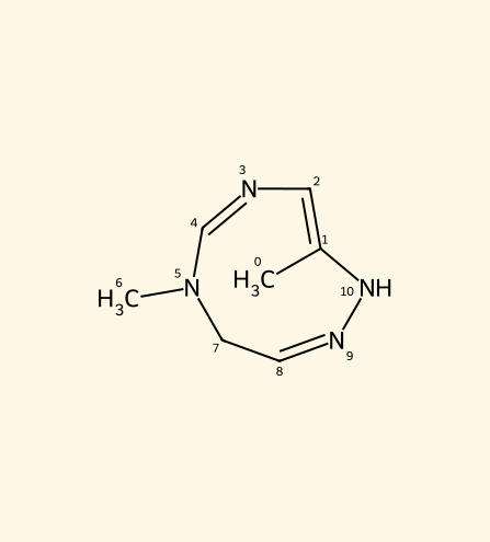 C/C1=C\N=C/N(C)C/C=N\N1